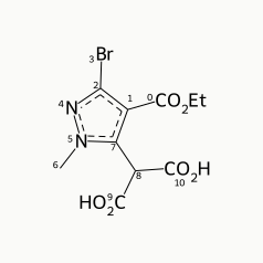 CCOC(=O)c1c(Br)nn(C)c1C(C(=O)O)C(=O)O